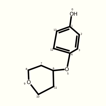 Oc1ccc(OC2CCOCC2)cc1